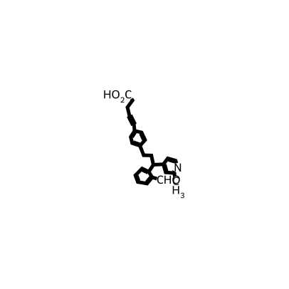 Cc1cc(C(CCc2ccc(C#CCCC(=O)O)cc2)c2ccccc2C=O)ccn1